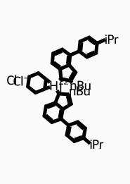 CCCCC1=Cc2c(-c3ccc(C(C)C)cc3)cccc2[CH]1[Hf+2]1([CH]2C(CCCC)=Cc3c(-c4ccc(C(C)C)cc4)cccc32)[CH]2CCCC[CH]21.[Cl-].[Cl-]